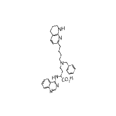 O=C(O)C(CCN(CCCCc1ccc2c(n1)NCCC2)Cc1ccccc1)Nc1ncnc2ccccc12